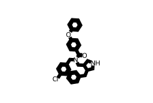 O=C(c1ccc(Oc2ccccc2)cc1)N(Cc1ccc(Cl)cc1)CC1CNCC1Cc1ccccc1